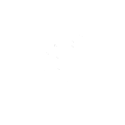 Cn1cc(Nc2ncc(Cl)c(Nc3ccccc3C3(O)CCOCC3)n2)cn1